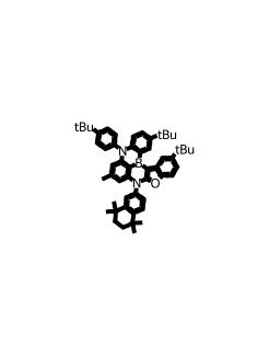 Cc1cc2c3c(c1)N(c1ccc4c(c1)C(C)(C)CCC4(C)C)c1oc4ccc(C(C)(C)C)cc4c1B3c1cc(C(C)(C)C)ccc1N2c1ccc(C(C)(C)C)cc1